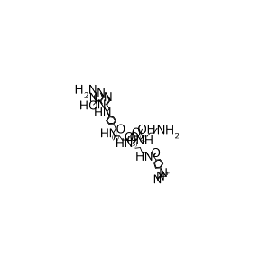 C[C@H](CCC(=O)N[C@@H](CCCCNC(=O)c1ccc(N=[N+]=[N-])cc1)C(=O)N[C@@H](CCCCN)C(=O)O)NC(=O)c1ccc(NCc2cnc3nc(N)nc(O)c3n2)cc1